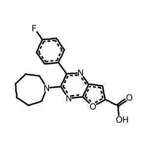 O=C(O)c1cc2nc(-c3ccc(F)cc3)c(N3CCCCCC3)nc2o1